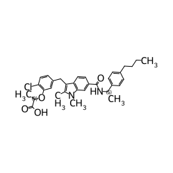 CCCCc1ccc([C@H](C)NC(=O)c2ccc3c(Cc4ccc(Cl)c(O[C@H](C)C(=O)O)c4)c(C)n(C)c3c2)cc1